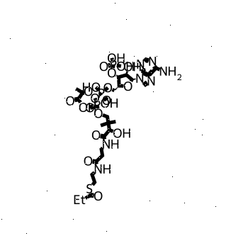 CC(=O)C(=O)O.CCC(=O)SCCNC(=O)CCNC(=O)C(O)C(C)(C)COP(=O)(O)OP(=O)(O)OC[C@H]1O[C@@H](n2cnc3c(N)ncnc32)[C@H](O)[C@@H]1OP(=O)(O)O